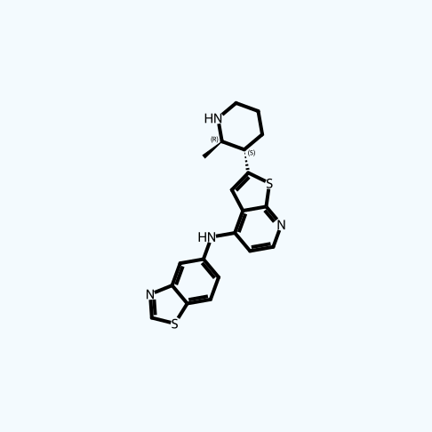 C[C@H]1NCCC[C@@H]1c1cc2c(Nc3ccc4scnc4c3)ccnc2s1